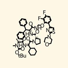 C[C@@H](C(=O)N[C@H](C(=O)N1CCC[C@H]1C(=O)N[C@H](C(=O)NCOc1c(-c2csc(N3CCOCC3)n2)ccc(F)c1F)C(c1ccccc1)c1ccccc1)C1CCCCC1)N(C)C(=O)OC(C)(C)C